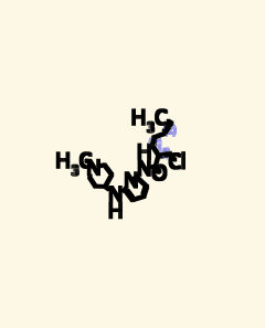 C\C=C/C=C\C(=C\Cl)C(=O)Nc1cccc(NC2CCN(C)CC2)n1